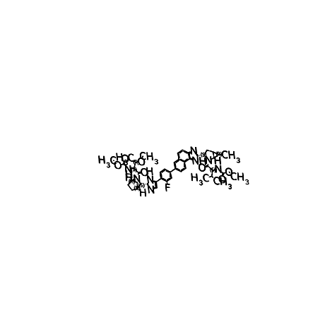 COC(=O)N[C@H](C(=O)N1C2C(C[C@H]1c1nc3ccc4cc(-c5ccc(-c6cnc([C@@H]7[C@H]8CC[C@H](C8)N7C(=O)[C@@H](NC(=O)OC)[C@@H](C)OC)[nH]6)c(F)c5)ccc4c3[nH]1)[C@H]2C)C(C)C